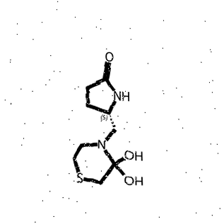 O=C1CC[C@@H](CN2CCSCC2(O)O)N1